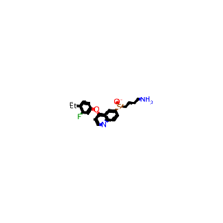 CCc1ccc(Oc2ccnc3ccc([S+]([O-])CCCCN)cc23)cc1F